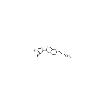 C=CCCC1CCC2CC(c3ccc(F)c(F)c3)CCC2C1